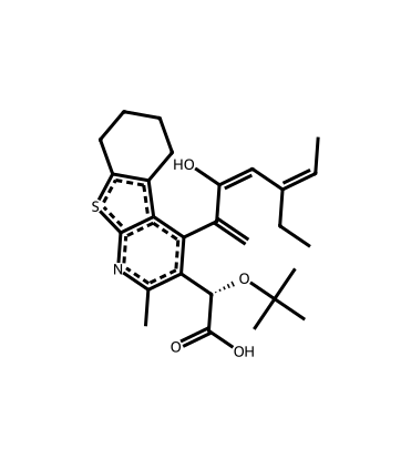 C=C(/C(O)=C\C(=C/C)CC)c1c([C@H](OC(C)(C)C)C(=O)O)c(C)nc2sc3c(c12)CCCC3